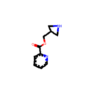 O=C(OCC1CNC1)c1ccccn1